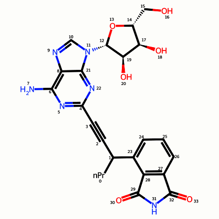 CCCC(C#Cc1nc(N)c2ncn([C@@H]3O[C@H](CO)[C@@H](O)[C@H]3O)c2n1)c1cccc2c1C(=O)NC2=O